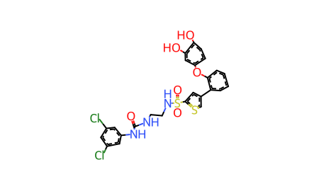 O=C(NCCNS(=O)(=O)c1cc(-c2ccccc2Oc2ccc(O)c(O)c2)cs1)Nc1cc(Cl)cc(Cl)c1